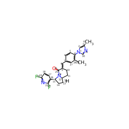 Cc1cn(-c2ccc(/C=C3\CC[C@H]4CC[C@@H](c5ccc(F)nc5F)N4C3=O)cc2C)cn1